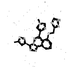 Cc1cc(-c2nnc3c4cccc(OCc5nc[nH]n5)c4c(-c4cn(C)cn4)nn23)no1